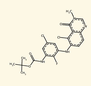 Cn1cnc2ccc(Nc3cc(Cl)cc(NC(=O)OC(C)(C)C)c3F)c(Cl)c2c1=O